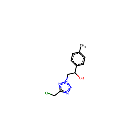 Cc1ccc(C(O)Cn2nnc(CCl)n2)cc1